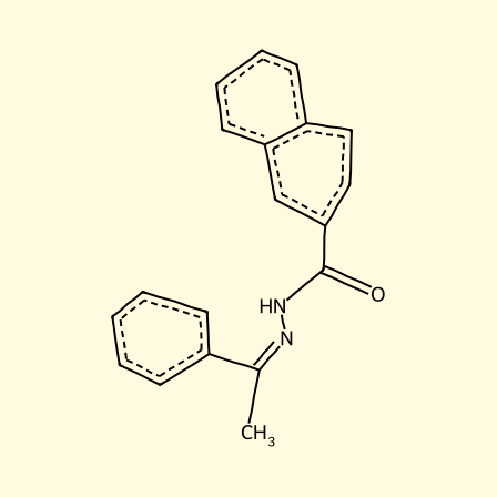 CC(=NNC(=O)c1ccc2ccccc2c1)c1ccccc1